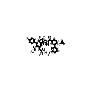 CCOc1c(CC(N)=O)cc([C@@](O)(CNC(=O)c2ccc(OC3CC3)c(-c3cccc(C)n3)c2)C(F)(F)F)nc1-c1ccc(F)cc1